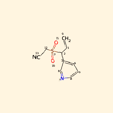 C=CC(c1cccnc1)S(=O)(=O)CC#N